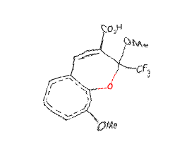 COc1cccc2c1OC(OC)(C(F)(F)F)C(C(=O)O)=C2